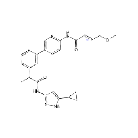 COC/C=C/C(=O)Nc1ccc(-c2cccc(C(C)C(=O)Nc3cc(C4CC4)[nH]n3)c2)cn1